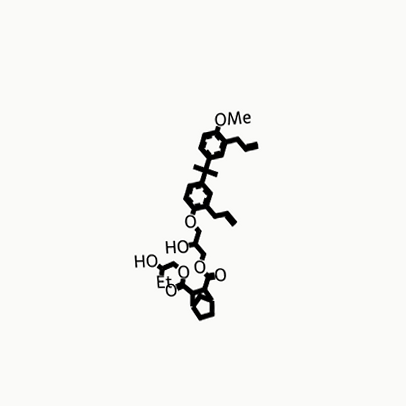 C=CCc1cc(C(C)(C)c2ccc(OCC(O)COC(=O)C3C4CCC(C4)C3C(=O)OCC(O)CC)c(CC=C)c2)ccc1OC